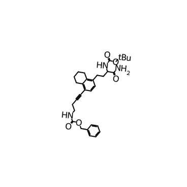 CC(C)(C)OC(=O)NC(CCc1ccc(C#CCCNC(=O)OCc2ccccc2)c2c1CCCC2)C(N)=O